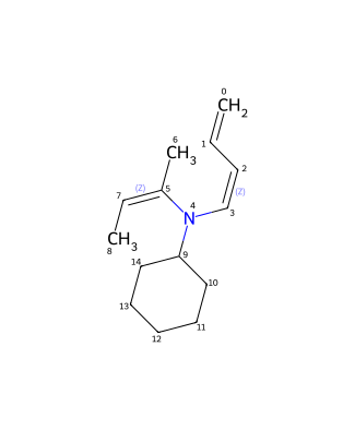 C=C/C=C\N(/C(C)=C\C)C1CCCCC1